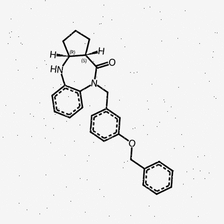 O=C1[C@H]2CCC[C@H]2Nc2ccccc2N1Cc1cccc(OCc2ccccc2)c1